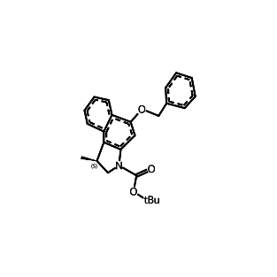 C[C@@H]1CN(C(=O)OC(C)(C)C)c2cc(OCc3ccccc3)c3ccccc3c21